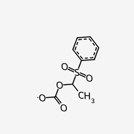 CC(OC([O])=O)S(=O)(=O)c1ccccc1